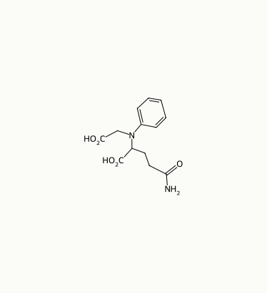 NC(=O)CCC(C(=O)O)N(CC(=O)O)c1ccccc1